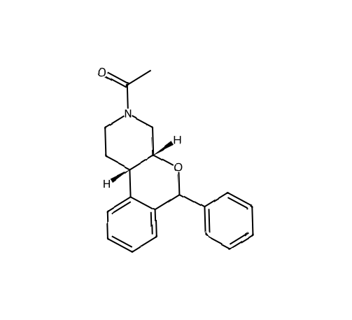 CC(=O)N1CC[C@H]2c3ccccc3C(c3ccccc3)O[C@H]2C1